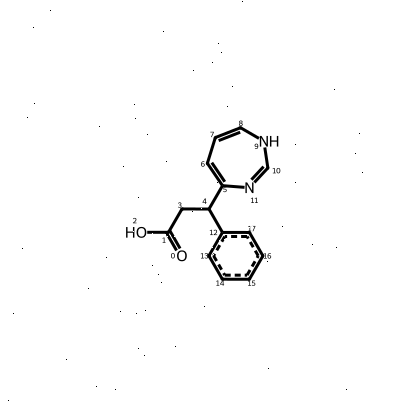 O=C(O)CC(C1=CC=CNC=N1)c1ccccc1